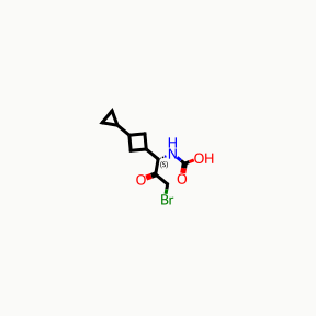 O=C(O)N[C@H](C(=O)CBr)C1CC(C2CC2)C1